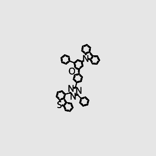 c1ccc(-c2nc(-c3ccc4c(c3)oc3c(-c5ccccc5)cc(-n5c6ccccc6c6ccccc65)cc34)nc(-c3cccc4sc5ccccc5c34)n2)cc1